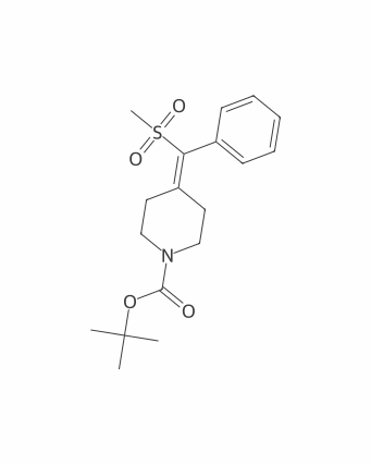 CC(C)(C)OC(=O)N1CCC(=C(c2ccccc2)S(C)(=O)=O)CC1